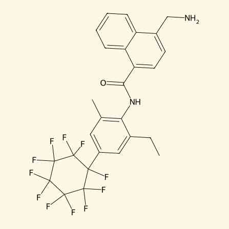 CCc1cc(C2(F)C(F)(F)C(F)(F)C(F)(F)C(F)(F)C2(F)F)cc(C)c1NC(=O)c1ccc(CN)c2ccccc12